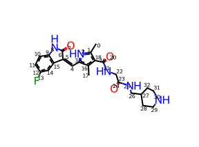 Cc1[nH]c(/C=C2\C(=O)Nc3ccc(F)cc32)c(C)c1C(=O)NCC(=O)NCC1CCNCC1